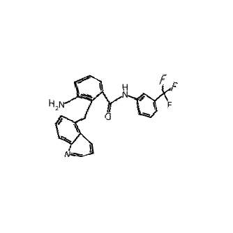 Nc1cccc(C(=O)Nc2cccc(C(F)(F)F)c2)c1Cc1cccc2ncccc12